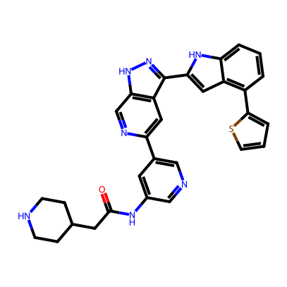 O=C(CC1CCNCC1)Nc1cncc(-c2cc3c(-c4cc5c(-c6cccs6)cccc5[nH]4)n[nH]c3cn2)c1